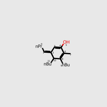 CCCC=C1C=C(O)C(C)=C(CCCC)C1CCCC